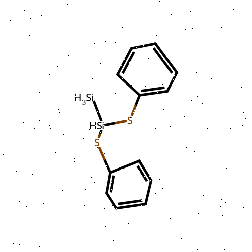 [SiH3][SiH](Sc1ccccc1)Sc1ccccc1